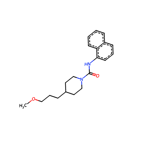 COCCCC1CCN(C(=O)Nc2cccc3ccccc23)CC1